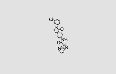 O=C(N[C@H]1CC[C@@]2(CCN(c3cccc(Cl)c3)C2=O)CC1)c1cnc2cccnn12